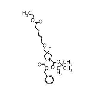 CCOC(=O)CC/C=C/COC[C@@]1(F)C[C@@H](C(=O)OCc2ccccc2)N(C(=O)OC(C)(C)C)C1